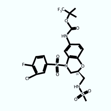 CC(C)(OC(=O)Nc1ccc2c(c1)N(S(=O)(=O)c1ccc(F)c(Cl)c1)C[C@H](CNS(C)(=O)=O)O2)C(F)(F)F